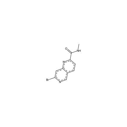 CNC(=O)c1ccc2cnc(Br)cc2n1